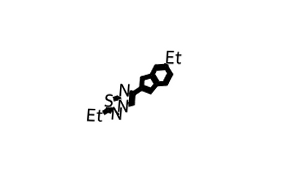 CCc1ccc2c(c1)CC(c1cn3nc(CC)sc3n1)=C2